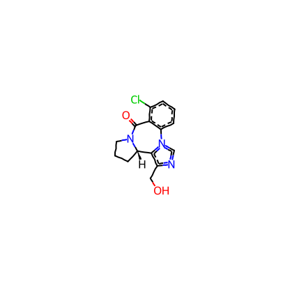 O=C1c2c(Cl)cccc2-n2cnc(CO)c2[C@@H]2CCCN12